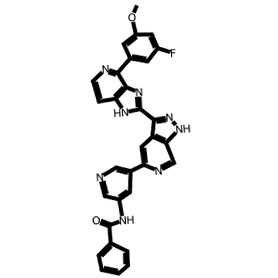 COc1cc(F)cc(-c2nccc3[nH]c(-c4n[nH]c5cnc(-c6cncc(NC(=O)c7ccccc7)c6)cc45)nc23)c1